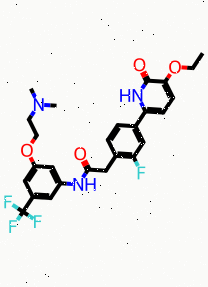 CCOc1ccc(-c2ccc(CC(=O)Nc3cc(OCCN(C)C)cc(C(F)(F)F)c3)c(F)c2)[nH]c1=O